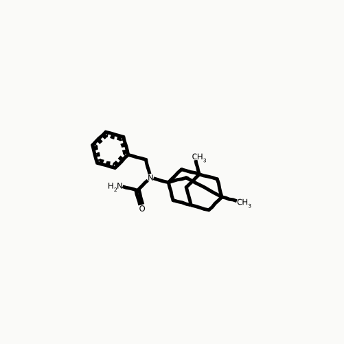 CC12CC3CC(C)(C1)CC(N(Cc1ccccc1)C(N)=O)(C3)C2